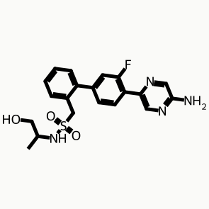 CC(CO)NS(=O)(=O)Cc1ccccc1-c1ccc(-c2cnc(N)cn2)c(F)c1